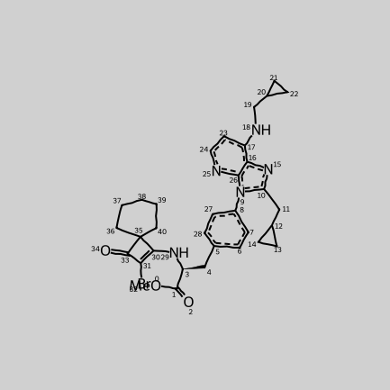 COC(=O)[C@H](Cc1ccc(-n2c(CC3CC3)nc3c(NCC4CC4)ccnc32)cc1)NC1=C(Br)C(=O)C12CCCCC2